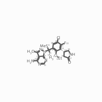 CCOc1c(C(C)(SC)n2nc(C)c3c(N)ncnc32)cc(Cl)c(F)c1[C@@H]1CNC(=O)C1